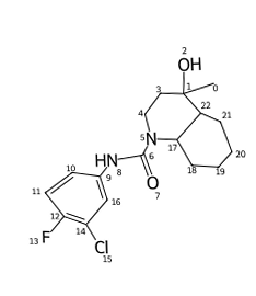 CC1(O)CCN(C(=O)Nc2ccc(F)c(Cl)c2)C2CCCCC21